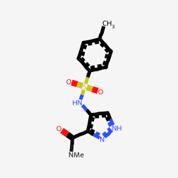 CNC(=O)c1n[nH]cc1NS(=O)(=O)c1ccc(C)cc1